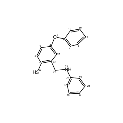 Sc1ccc(Oc2ccccc2)cc1CNc1ccccc1